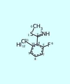 CSC(=N)c1c(F)cccc1Cl.I